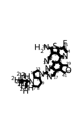 [2H]C([2H])([2H])C([2H])(N1CCCC2C1CCN2c1ncc2c3c(c(-c4ncc(F)c5sc(N)c(C#N)c45)c(F)c2n1)COC3)C([2H])([2H])[2H]